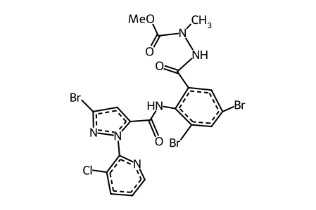 COC(=O)N(C)NC(=O)c1cc(Br)cc(Br)c1NC(=O)c1cc(Br)nn1-c1ncccc1Cl